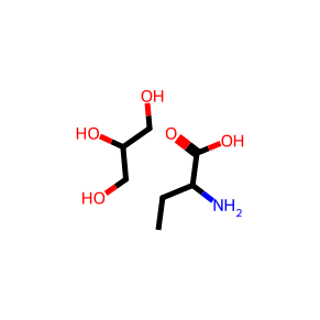 CCC(N)C(=O)O.OCC(O)CO